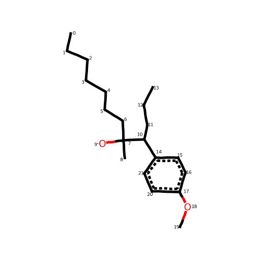 CCCCCCCC(C)([O])C(CCC)c1ccc(OC)cc1